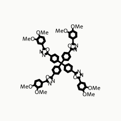 COc1ccc(-c2nnc(-c3ccc(C(c4ccc(-c5nnc(-c6ccc(OC)c(OC)c6)o5)cc4)(c4ccc(-c5nnc(-c6ccc(OC)c(OC)c6)o5)cc4)c4ccc(-c5nnc(-c6ccc(OC)c(OC)c6)o5)cc4)cc3)o2)cc1OC